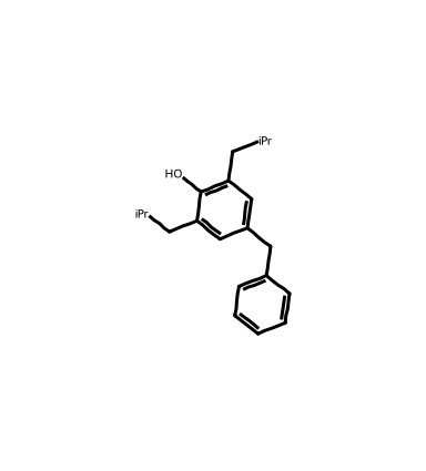 CC(C)Cc1cc(Cc2ccccc2)cc(CC(C)C)c1O